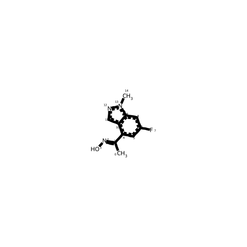 CC(=NO)c1cc(F)cc2c1cnn2C